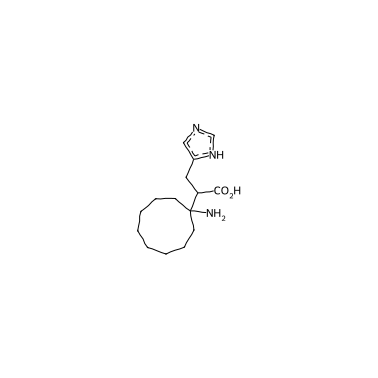 NC1(C(Cc2cnc[nH]2)C(=O)O)CCCCCCCC1